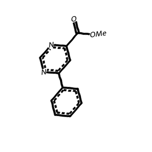 COC(=O)c1cc(-c2ccccc2)ncn1